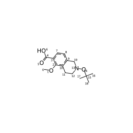 COc1c(C(=O)O)ccc2c1CCN(OC(C)(C)C)C2